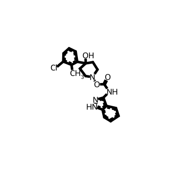 Cc1c(Cl)cccc1C1(O)CCN(OC(=O)Nc2n[nH]c3ccccc23)CC1